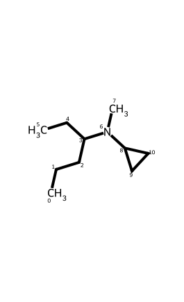 CCCC(CC)N(C)C1CC1